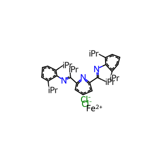 CC(C)C(=Nc1c(C(C)C)cccc1C(C)C)c1cccc(C(=Nc2c(C(C)C)cccc2C(C)C)C(C)C)n1.[Cl-].[Cl-].[Fe+2]